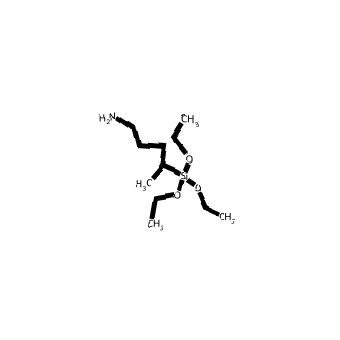 CCO[Si](OCC)(OCC)C(C)CCCN